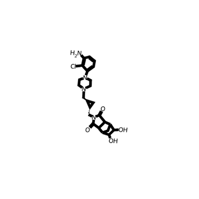 Nc1cccc(N2CCN(C[C@H]3C[C@@H]3CN3C(=O)C4C5CC(C(O)C5O)C4C3=O)CC2)c1Cl